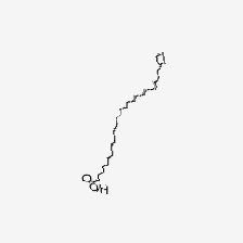 O=C(O)CCCCCCCCCCCCCCCCCCCCCCCCCCl